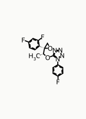 C[C@@H](Oc1nnnn1-c1ccc(F)cc1)[C@@]1(c2ccc(F)cc2F)CO1